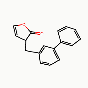 O=C1OC=CC1Cc1cccc(-c2ccccc2)c1